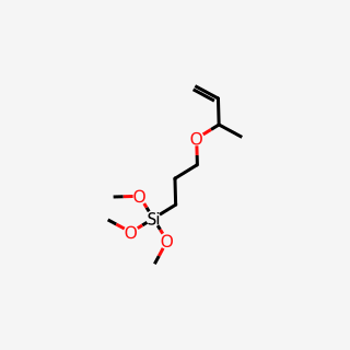 C=CC(C)OCCC[Si](OC)(OC)OC